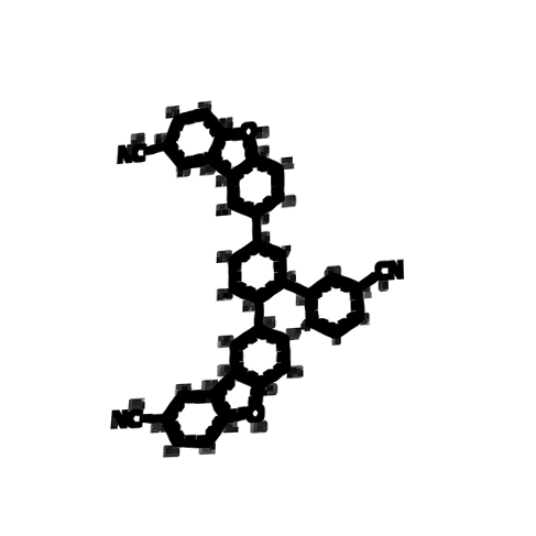 N#Cc1cccc(-c2cc(-c3ccc4oc5ccc(C#N)cc5c4c3)ccc2-c2ccc3oc4ccc(C#N)cc4c3c2)c1